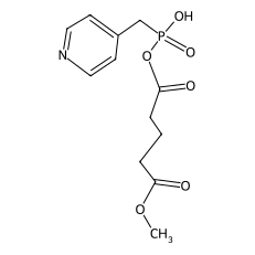 COC(=O)CCCC(=O)OP(=O)(O)Cc1ccncc1